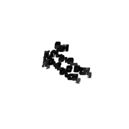 C=C(CCOCCOCCOCC)C(=O)O.C=CC(=O)OCCOCCOCC